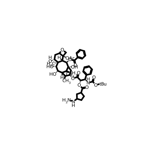 CC(=O)O[C@]12COC1C[C@@H](O)[C@@]1(C)[C@H]2[C@@H](OC(=O)c2ccccc2)[C@@]2(O)C[C@@H](OC(=O)[C@@H](OC(=O)C3CCC(NN)C3)[C@H](NC(=O)OC(C)(C)C)c3ccccc3)C(C)[C@H]([C@H](O)[C@@H]1O)C2(C)C